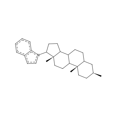 C[C@H]1CC[C@@]2(C)C(CCC3C2CC[C@@]2(C)C3CCC2n2ccc3ccccc32)C1